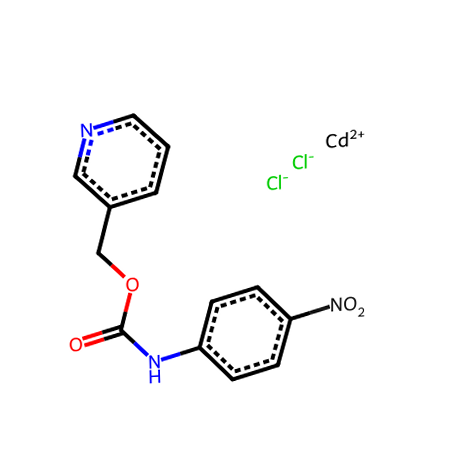 O=C(Nc1ccc([N+](=O)[O-])cc1)OCc1cccnc1.[Cd+2].[Cl-].[Cl-]